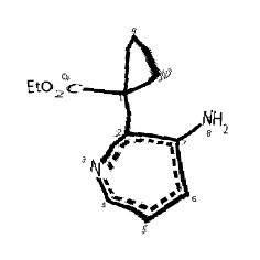 CCOC(=O)C1(c2ncccc2N)CC1